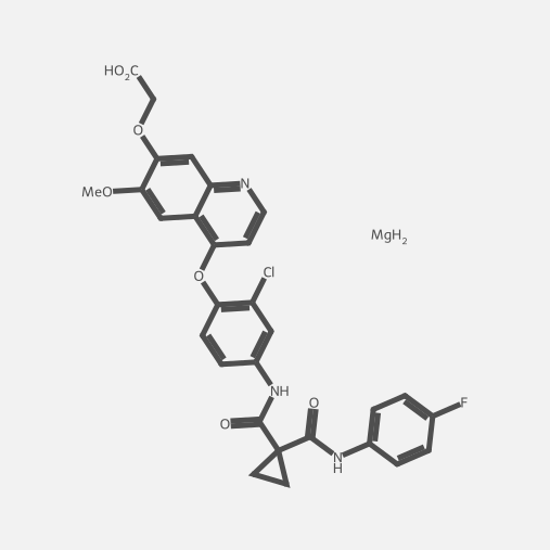 COc1cc2c(Oc3ccc(NC(=O)C4(C(=O)Nc5ccc(F)cc5)CC4)cc3Cl)ccnc2cc1OCC(=O)O.[MgH2]